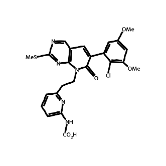 COc1cc(OC)c(Cl)c(-c2cc3cnc(SC)nc3n(CCc3cccc(NC(=O)O)n3)c2=O)c1